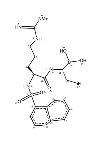 CNC(=N)NCCC[C@H](NS(=O)(=O)c1cccc2ccccc12)C(=O)N[C@@H](CC(C)C)B(O)O